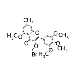 COc1cc(-c2oc3cc(C)cc(OC)c3c(=O)c2OCBr)cc(OC)c1OC